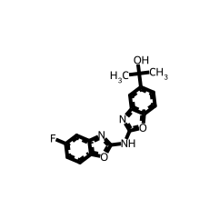 CC(C)(O)c1ccc2oc(Nc3nc4cc(F)ccc4o3)nc2c1